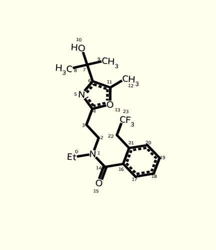 CCN(CCc1nc(C(C)(C)O)c(C)o1)C(=O)c1ccccc1CC(F)(F)F